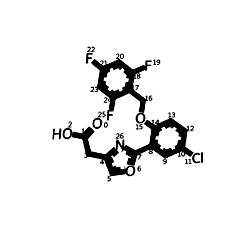 O=C(O)Cc1coc(-c2cc(Cl)ccc2OCc2c(F)cc(F)cc2F)n1